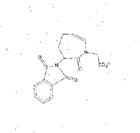 O=C(O)CN1C=CCCC(N2C(=O)c3ccccc3C2=O)C1=O